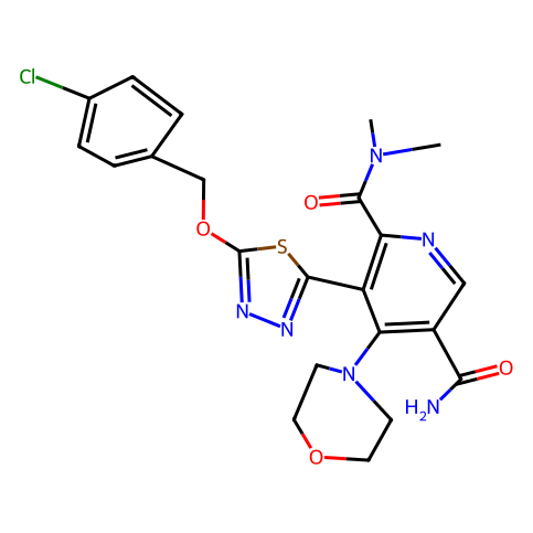 CN(C)C(=O)c1ncc(C(N)=O)c(N2CCOCC2)c1-c1nnc(OCc2ccc(Cl)cc2)s1